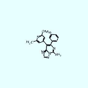 COc1cc(-c2c(-c3ccccc3)nc(N)n3ncnc23)cc(C)n1